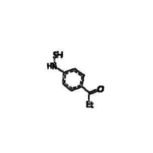 CCC(=O)c1ccc(NS)cc1